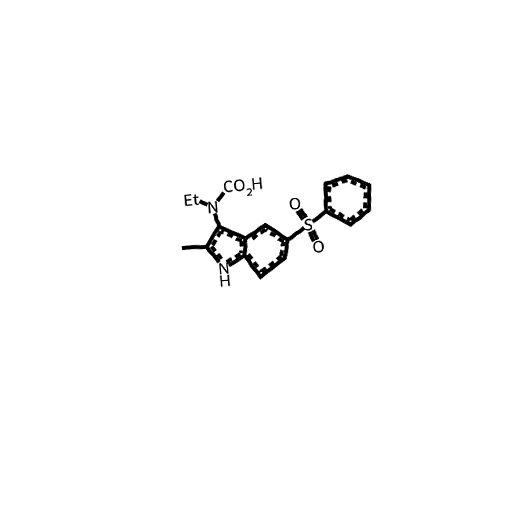 CCN(C(=O)O)c1c(C)[nH]c2ccc(S(=O)(=O)c3ccccc3)cc12